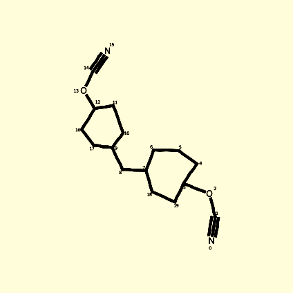 N#COC1CCCC(CC2CCC(OC#N)CC2)CC1